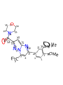 COc1ccc(-c2cc(C(F)(F)F)n3nc(C(=O)N4CCOCC4)cc3n2)cc1OC